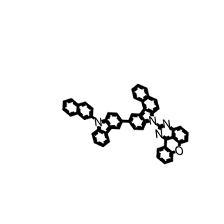 c1ccc2c(c1)Oc1cccc3nc(-n4c5ccc(-c6ccc7c(c6)c6ccccc6n7-c6ccc7ccccc7c6)cc5c5c6ccccc6ccc54)nc-2c13